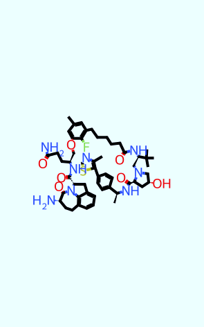 Cc1cc(CCCCCC(=O)N[C@H](CN2C[C@H](O)C[C@H]2C(=O)N[C@@H](C)c2ccc(-c3scnc3C)cc2)C(C)(C)C)c(F)c(OC[C@H](CCC(N)=O)NC(=O)[C@@H]2Cc3cccc4c3N2C(=O)[C@@H](N)CC4)c1